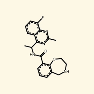 Cc1nc(C(C)NC(=O)c2cccc3c2OCCNC3)c2cccc(F)c2n1